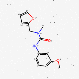 COc1cccc(NC(=O)N(C)Cc2ccco2)c1